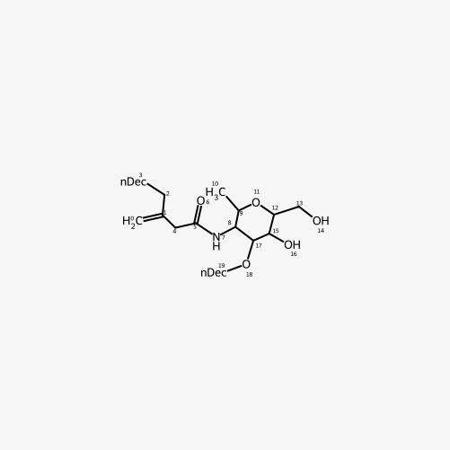 C=C(CCCCCCCCCCC)CC(=O)NC1C(C)OC(CO)C(O)C1OCCCCCCCCCC